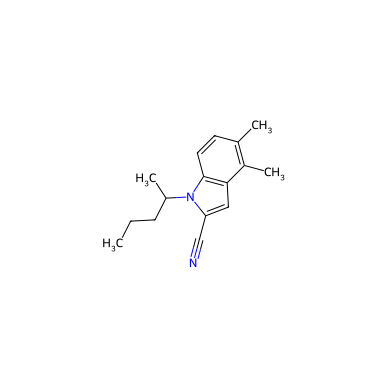 CCCC(C)n1c(C#N)cc2c(C)c(C)ccc21